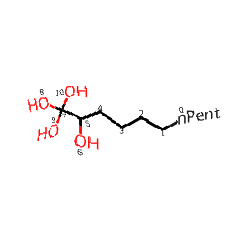 CCCCCCCCCC(O)C(O)(O)O